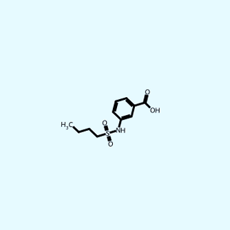 CCCCS(=O)(=O)Nc1cccc(C(=O)O)c1